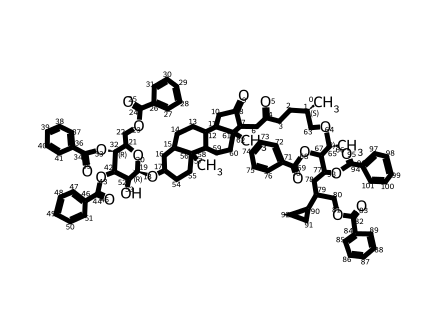 C[C@@H](CCC(=O)CC1C(=O)CC2C3CCC4CC(O[C@@H]5OC(COC(=O)c6ccccc6)[C@@H](OC(=O)c6ccccc6)C(OC(=O)c6ccccc6)C5O)CCC4(C)C3CCC12C)CO[C@H](C)C(OC(=O)c1ccccc1)C(CC(COC(=O)c1ccccc1)C1CC1)OC(=O)c1ccccc1